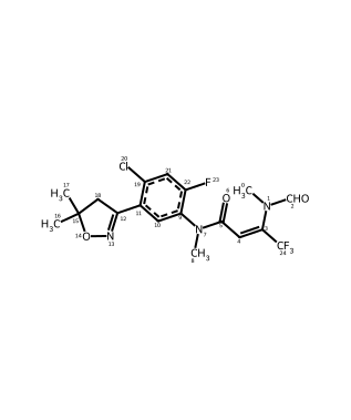 CN(C=O)/C(=C\C(=O)N(C)c1cc(C2=NOC(C)(C)C2)c(Cl)cc1F)C(F)(F)F